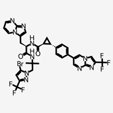 CC(C)(Cn1nc(C(F)(F)F)cc1Br)NC(=O)[C@@H](Cc1cnc2ncccn12)NC(=O)[C@H]1C[C@@H]1c1ccc(-c2cnc3nc(C(F)(F)F)cn3c2)cc1